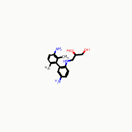 Cc1ccc(N)c(C)c1-c1cc(N)ccc1NCC(O)CO